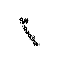 O=c1n(-c2ccc(N3CCN(c4ccc(OC[C@@H]5CO[C@@](Cn6nccn6)(c6ccccc6)O5)cc4)CC3)cc2)cnn1CC1CCNCC1